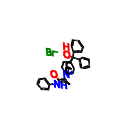 C[C@@H](C(=O)Nc1ccccc1)[N+]12CCC(C(O)(c3ccccc3)c3ccccc3)(CC1)CC2.[Br-]